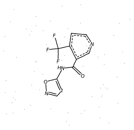 O=C(NC1=IC=NO1)c1cnccc1C(F)(F)F